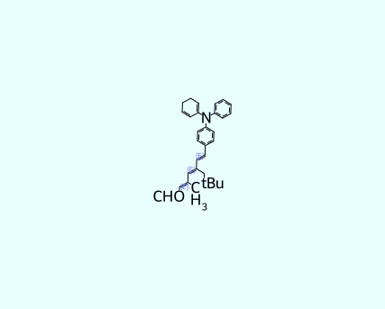 CC(=C\C=O)/C=C(/C=C/c1ccc(N(C2=CCCC=C2)c2ccccc2)cc1)CC(C)(C)C